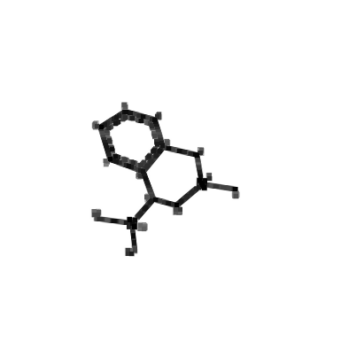 CN1Cc2ccccc2C(N(C)C)C1